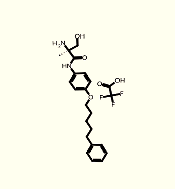 C[C@](N)(CO)C(=O)Nc1ccc(OCCCCCc2ccccc2)cc1.O=C(O)C(F)(F)F